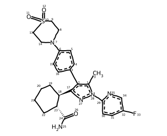 Cc1c(-c2ccc(N3CCS(=O)(=O)CC3)cc2)c([C@@H]2CCCC[C@H]2C(N)=O)nn1-c1ccc(F)cn1